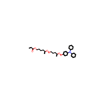 C=CC(=O)OCCCCC(=C)OOCCCC(=C)OOc1ccc(N(c2ccccc2)c2ccccc2)cc1